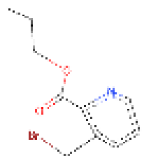 CCCOC(=O)c1ncccc1CBr